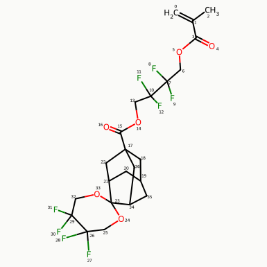 C=C(C)C(=O)OCC(F)(F)C(F)(F)COC(=O)C12CC3CC(C1)C1(OCC(F)(F)C(F)(F)CO1)C(C3)C2